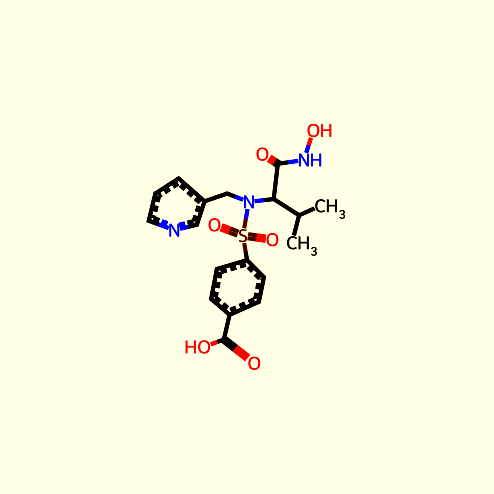 CC(C)C(C(=O)NO)N(Cc1cccnc1)S(=O)(=O)c1ccc(C(=O)O)cc1